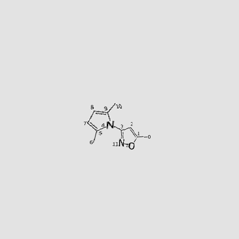 Cc1cc(-n2c(C)ccc2C)no1